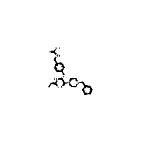 CCC(=O)N[C@H](Cc1ccc(CNC(=O)O)cc1)C(=O)N1CCN(Cc2ccccc2)CC1